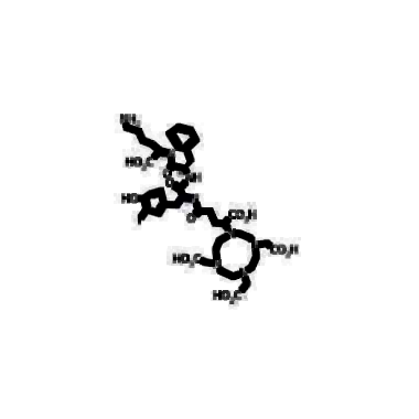 NCCCC/C(=N/C(=O)[C@@H](Cc1ccccc1)NC(=O)/C(Cc1ccc(O)c(I)c1)=N/C(=O)CCC(C(=O)O)N1CCN(CC(=O)O)CCN(CC(=O)O)CCN(CC(=O)O)CC1)C(=O)O